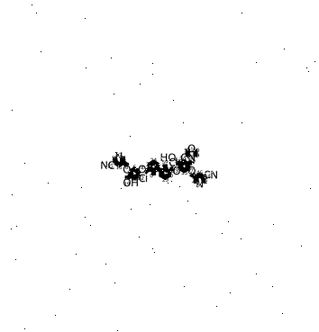 Cc1c(COc2cc(OCc3cncc(C#N)c3)c(CO)cc2Cl)cccc1-c1cccc(COc2cc(OCc3cncc(C#N)c3)c(CN3CCOC[C@@H]3C(=O)O)cc2Cl)c1C